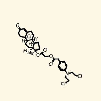 CC(=O)[C@@]1(OC(=O)COC(=O)Cc2ccc(N(CCCl)CCCl)cc2)CC[C@H]2[C@@H]3CCC4=CC(=O)CC[C@]4(C)[C@H]3CC[C@@]21C